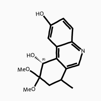 COC1(OC)CC(C)c2cnc3ccc(O)cc3c2[C@H]1O